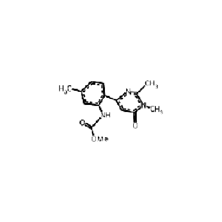 COC(=O)Nc1cc(C)ccc1-c1cc(=O)n(C)c(C)n1